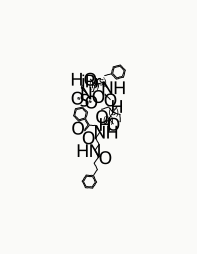 CC(C)CN(C[C@@H](O)[C@H](Cc1ccccc1)NC(=O)OC1CO[C@H]2OCC[C@@H]12)S(=O)(=O)c1ccc2occ(CNC(=O)CNC(=O)CCc3ccccc3)c2c1